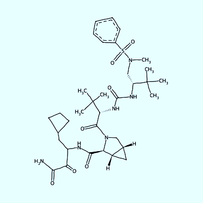 CN(C[C@@H](NC(=O)N[C@H](C(=O)N1C[C@@H]2C[C@@H]2[C@H]1C(=O)NC(CC1CCC1)C(=O)C(N)=O)C(C)(C)C)C(C)(C)C)S(=O)(=O)c1ccccc1